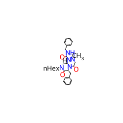 CCCCCCN1C[C@H]2N(C(=O)CN(C)N2C(=O)NCc2ccccc2)[C@@H](Cc2ccccc2)C1=O